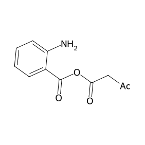 CC(=O)CC(=O)OC(=O)c1ccccc1N